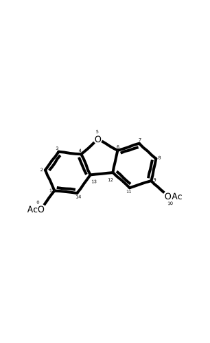 CC(=O)Oc1ccc2oc3ccc(OC(C)=O)cc3c2c1